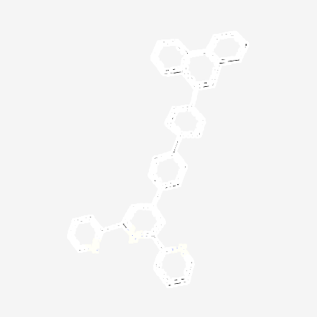 c1ccc(-c2cc(-c3ccc(-c4ccc(-c5cc6ccccc6c6ccccc56)cc4)cc3)cc(-c3ccccn3)n2)nc1